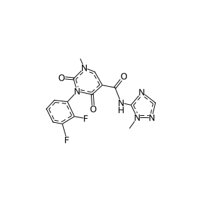 Cn1ncnc1NC(=O)c1cn(C)c(=O)n(-c2cccc(F)c2F)c1=O